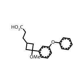 COC1(c2cccc(Oc3ccccc3)c2)CC(CCC(=O)O)C1